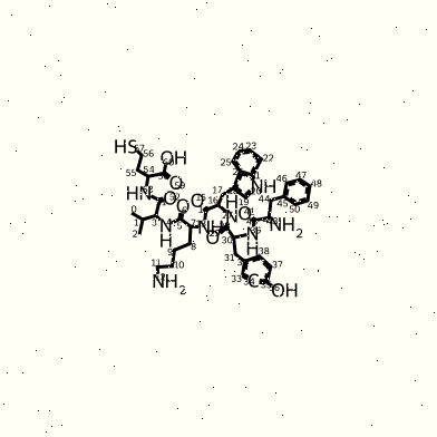 CC(C)C(NC(=O)C(CCCCN)NC(=O)C(Cc1c[nH]c2ccccc12)NC(=O)C(Cc1ccc(O)cc1)NC(=O)C(N)Cc1ccccc1)C(=O)NC(CCS)C(=O)O